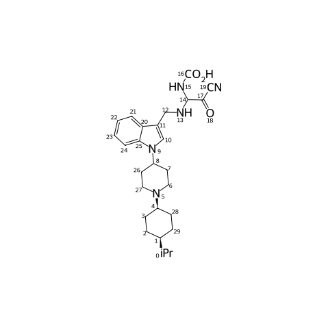 CC(C)[C@H]1CC[C@@H](N2CCC(n3cc(CNC(NC(=O)O)C(=O)C#N)c4ccccc43)CC2)CC1